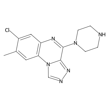 Cc1cc2c(cc1Cl)nc(N1CCNCC1)c1nncn12